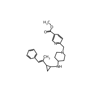 COC(=O)c1ccc(CN2CCC(NC3CC3/C(C)=C/c3ccccc3)CC2)nc1